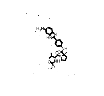 COC(=O)N[C@H](C(=O)N1CCC[C@@]1(C)C(=O)Nc1ccc(-c2nc3ccc(N)cc3[nH]2)cc1)C(C)C